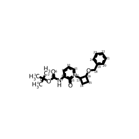 CC(C)(C)OC(=O)Nc1cccn(C2CCC2OCc2ccccc2)c1=O